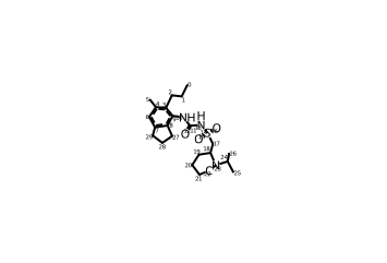 CCCc1c(C)cc2c(c1NC(=O)NS(=O)(=O)CC1CCCCN1C(C)C)CCC2